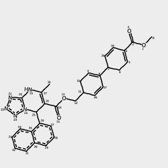 COC(=O)C1=CCC(C2=CCC(COC(=O)C3=C(C)Nc4nnnn4C3c3cccc4ccccc34)C=C2)C=C1